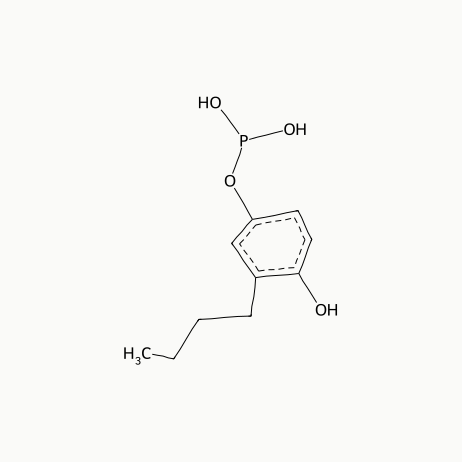 CCCCc1cc(OP(O)O)ccc1O